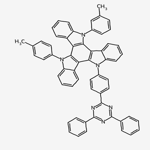 Cc1ccc(-n2c3ccccc3c3c2c2c4ccccc4n(-c4cccc(C)c4)c2c2c4ccccc4n(-c4ccc(-c5nc(-c6ccccc6)nc(-c6ccccc6)n5)cc4)c32)cc1